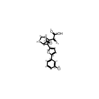 O=C(O)C(=S)C1C(c2ccc(-c3cccc(Cl)c3)o2)C2SCN1C2=O